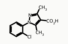 Cc1nn(-c2ccccc2Cl)c(C)c1C(=O)O